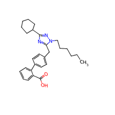 CCCCCCn1nc(C2CCCCC2)nc1Cc1ccc(-c2ccccc2C(=O)O)cc1